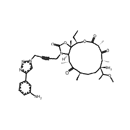 B[C@@]1(C(C)OC)CC[C@@H](C)C(=O)[C@H](C)[C@H]2N(CC#CCn3cc(-c4cccc(N)c4)nn3)C(=O)O[C@]2(C)[C@@H](CC)OC(=O)[C@H](C)C(=O)[C@@H]1C